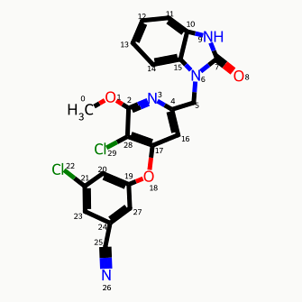 COc1nc(Cn2c(=O)[nH]c3ccccc32)cc(Oc2cc(Cl)cc(C#N)c2)c1Cl